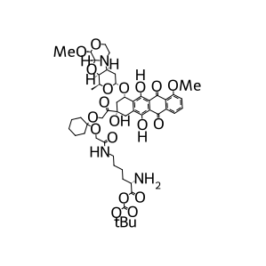 COc1cccc2c1C(=O)c1c(O)c3c(c(O)c1C2=O)C[C@@](O)(C(=O)COC1(OCC(=O)NCCCC[C@H](N)C(=O)OC(=O)OC(C)(C)C)CCCCC1)C[C@@H]3O[C@H]1C[C@H]2[C@H](O[C@@H]3[C@@H](OC)OCCN32)[C@H](C)O1